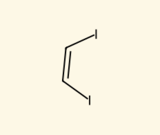 I/C=C\I